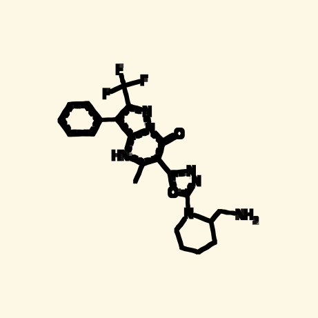 Cc1[nH]c2c(-c3ccccc3)c(C(F)(F)F)nn2c(=O)c1-c1nnc(N2CCCCC2CN)o1